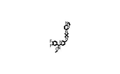 CCO/N=C(\c1ccc(F)c(F)c1)c1ccc(CN2CC3(C2)CN(c2ccc4nccn4c2)C3)cn1